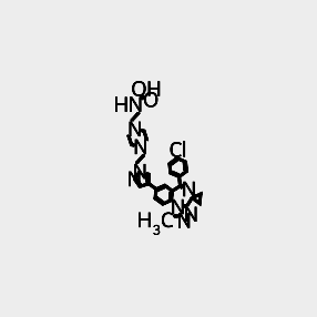 Cc1nnc2n1-c1ccc(-c3cnn(CCN4CCN(CCNC(=O)O)CC4)c3)cc1C(c1ccc(Cl)cc1)=NC21CC1